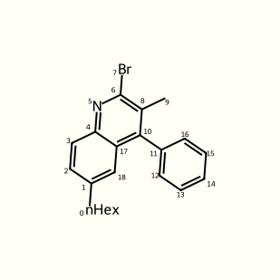 CCCCCCc1ccc2nc(Br)c(C)c(-c3ccccc3)c2c1